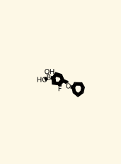 OB(O)c1ccc(COC2CCCCCC2)c(F)c1